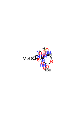 COc1ccc2c(OC3C[C@H]4C(=O)N[C@]5(C(=O)NS(=O)(=O)C6CC6)C[C@H]5/C=C\COCCC[C@H](NC(=O)OC(C)(C)C)C(=O)N4C3)nc(-c3ncco3)cc2c1